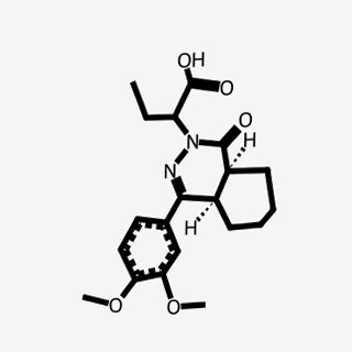 CCC(C(=O)O)N1N=C(c2ccc(OC)c(OC)c2)[C@@H]2CCCC[C@@H]2C1=O